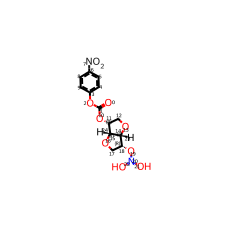 O=C(Oc1ccc([N+](=O)[O-])cc1)O[C@@H]1CO[C@H]2[C@@H]1OC[C@H]2ON(O)O